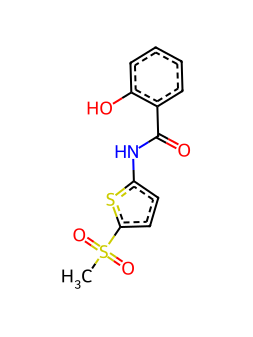 CS(=O)(=O)c1ccc(NC(=O)c2ccccc2O)s1